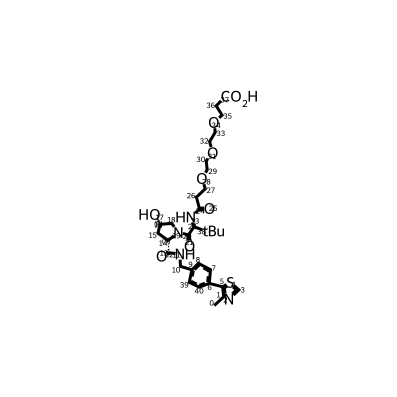 Cc1ncsc1-c1ccc(CNC(=O)[C@@H]2C[C@@H](O)CN2C(=O)C(NC(=O)CCOCCOCCOCCC(=O)O)C(C)(C)C)cc1